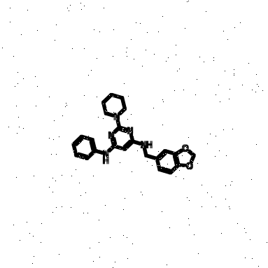 c1ccc(Nc2cc(NCc3ccc4c(c3)OCO4)nc(N3CCCCC3)n2)cc1